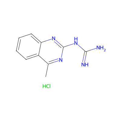 Cc1nc(NC(=N)N)nc2ccccc12.Cl